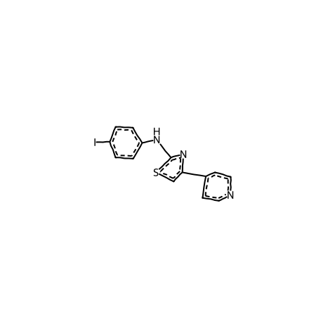 Ic1ccc(Nc2nc(-c3ccncc3)cs2)cc1